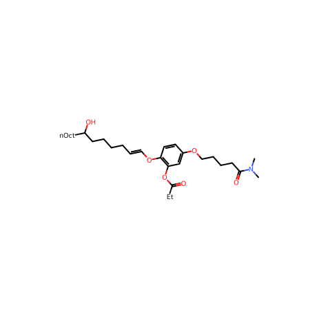 CCCCCCCCC(O)CCCCC=COc1ccc(OCCCCC(=O)N(C)C)cc1OC(=O)CC